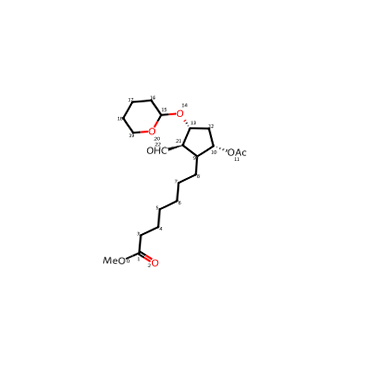 COC(=O)CCCCCCC1[C@@H](OC(C)=O)C[C@@H](OC2CCCCO2)[C@@H]1C=O